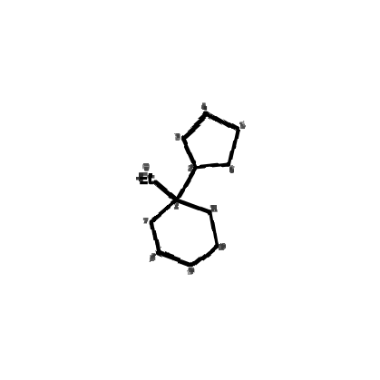 C[CH]C1(C2CCCC2)CCCCC1